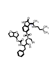 C/C(NCCN(C)C)=C1\C(=O)Nc2ccc(S(=O)(=O)N(CC(C)C)CC(O)C(Cc3ccccc3)NC(=O)OC3COC4OCCC34)cc21